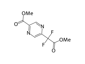 COC(=O)c1cnc(C(F)(F)C(=O)OC)cn1